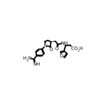 N=C(N)c1ccc(N2CC[C@@H](CC(=O)NC(CC(=O)O)c3ccoc3)C2=O)cc1